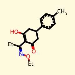 CCO/N=C(/CC)C1=C(O)CC(c2ccc(C)cc2)CC1=O